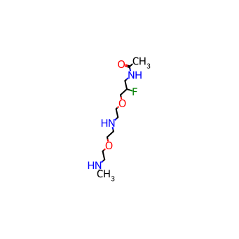 CNCCOCCNCCOCC(F)CNC(C)=O